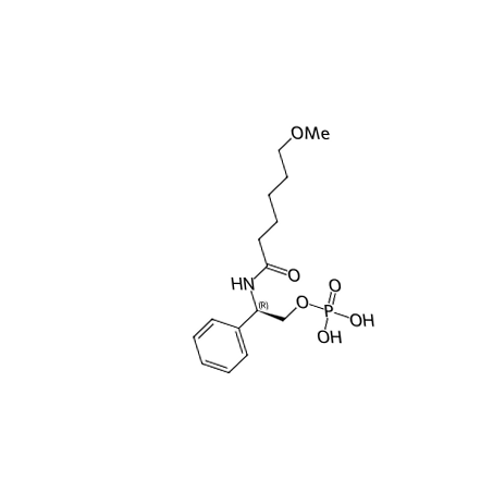 COCCCCCC(=O)N[C@@H](COP(=O)(O)O)c1ccccc1